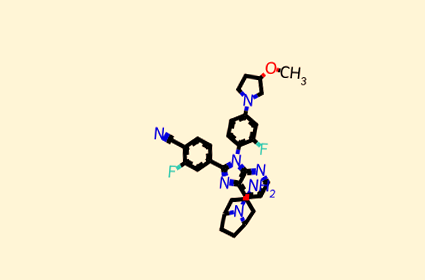 COC1CCN(c2ccc(-n3c(-c4ccc(C#N)c(F)c4)nc4c(N5C6CCC5CC(N)C6)ccnc43)c(F)c2)C1